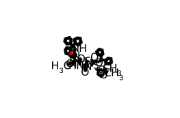 CON=C(C(=O)NC1C(=O)N2CC(SCC3CCOC(C)(C)O3)(C(=O)OC(c3ccccc3)c3ccccc3)CS[C@H]12)c1csc(NC(c2ccccc2)(c2ccccc2)c2ccccc2)n1